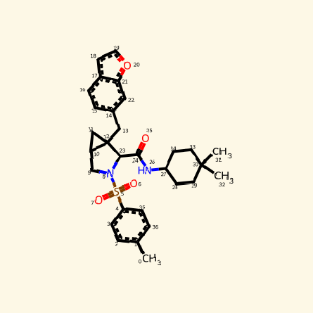 Cc1ccc(S(=O)(=O)N2CC3CC3(Cc3ccc4ccoc4c3)C2C(=O)NC2CCC(C)(C)CC2)cc1